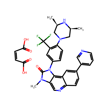 C[C@@H]1CN(c2ccc(-n3c(=O)n(C)c4cnc5ccc(-c6cccnc6)cc5c43)cc2C(F)(F)F)C[C@H](C)N1.O=C(O)/C=C\C(=O)O